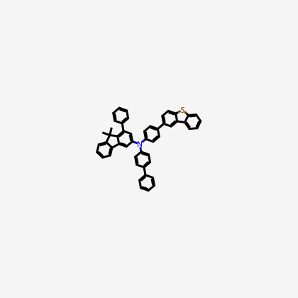 CC1(C)c2ccccc2-c2cc(N(c3ccc(-c4ccccc4)cc3)c3ccc(-c4ccc5sc6ccccc6c5c4)cc3)cc(-c3ccccc3)c21